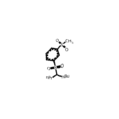 CCCCC(CCC)S(=O)(=O)c1cc[c]c(S(C)(=O)=O)c1